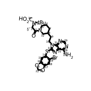 C[C@@H](C(=O)N1CCCC(CCn2c(Sc3cc4c(cc3Br)OCO4)nc3c(N)ncnc32)C1)N(C(=O)O)C(C)(C)C